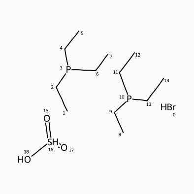 Br.CCP(CC)CC.CCP(CC)CC.O=[SH](=O)O